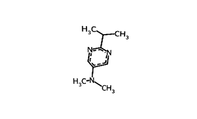 CC(C)c1ncc(N(C)C)cn1